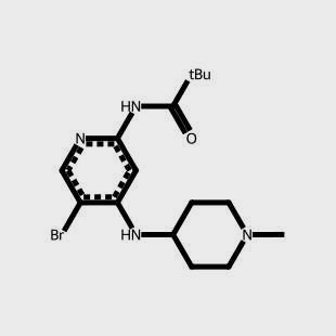 CN1CCC(Nc2cc(NC(=O)C(C)(C)C)ncc2Br)CC1